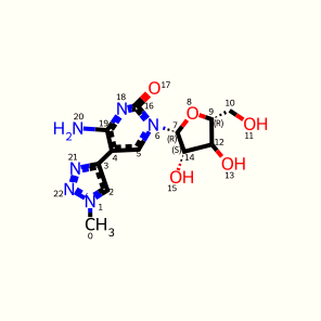 Cn1cc(-c2cn([C@@H]3O[C@H](CO)C(O)[C@@H]3O)c(=O)nc2N)nn1